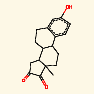 CC12CCC3c4ccc(O)cc4CCC3C1CC(=O)C2=O